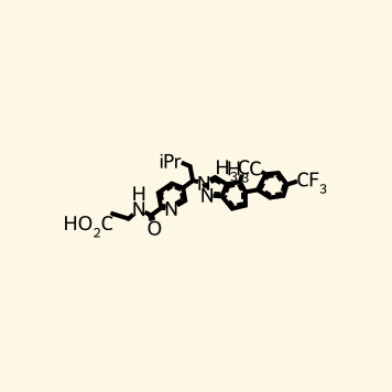 Cc1cc(C(F)(F)F)ccc1-c1ccc2nn(C(CC(C)C)c3ccc(C(=O)NCCC(=O)O)nc3)cc2c1C